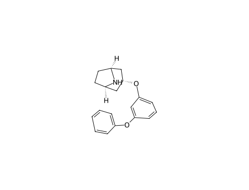 c1ccc(Oc2cccc(O[C@@H]3C[C@H]4CC[C@@H](C3)N4)c2)cc1